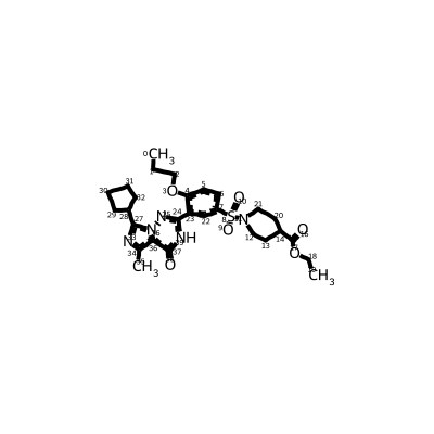 CCCOc1ccc(S(=O)(=O)N2CCC(C(=O)OCC)CC2)cc1-c1nn2c(C3CCCC3)nc(C)c2c(=O)[nH]1